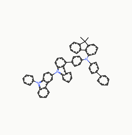 CC1(C)c2ccccc2-c2c(N(c3ccc(-c4ccccc4)cc3)c3ccc(-c4cccc5c4c4ccccc4n5-c4ccc5c(c4)c4ccccc4n5-c4ccccc4)cc3)cccc21